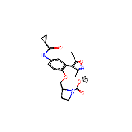 Cc1noc(C)c1-c1cc(NC(=O)C2CC2)ccc1OCC1CCN1C(=O)OC(C)(C)C